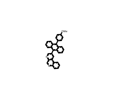 COc1ccc(-c2c3ccccc3c(-c3cnc4cnc5ccccc5c4c3)c3ccccc23)cc1